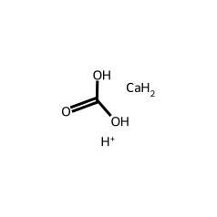 O=C(O)O.[CaH2].[H+]